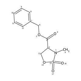 CN1C(C(=O)OCc2ccccc2)COS1(=O)=O